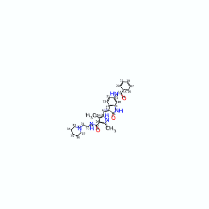 Cc1[nH]c(/C=C2\C(=O)Nc3cc(NC(=O)c4ccccc4)ccc32)c(C)c1C(=O)NCCN1CCCCC1